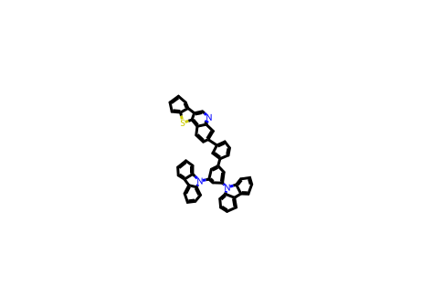 c1cc(-c2cc(-n3c4ccccc4c4ccccc43)cc(-n3c4ccccc4c4ccccc43)c2)cc(-c2ccc3c(c2)ncc2c4ccccc4sc32)c1